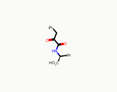 CC(C)CC(=O)C(=O)N[C@H](C(=O)O)C(C)C